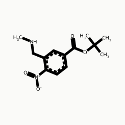 CNCc1cc(C(=O)OC(C)(C)C)ccc1[N+](=O)[O-]